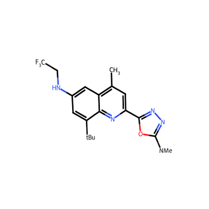 CNc1nnc(-c2cc(C)c3cc(NCC(F)(F)F)cc(C(C)(C)C)c3n2)o1